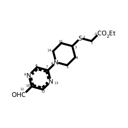 CCOC(=O)CSC1CCN(c2cnc(C=O)cn2)CC1